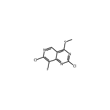 CSc1nc(Cl)nc2c(F)c(Cl)ncc12